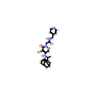 CC(Nc1cnn(CC(=O)NCc2ccncc2)c(=O)c1Br)C12CC3CC(CC(C3)C1)C2